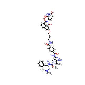 CN(C)C[C@@H](NC(=O)N1Cc2c(NC(=O)c3ccc(C(=O)NCCCOc4cc5c6c(cccc6c4)C(=O)N(C4CCC(=O)NC4=O)C5=O)cc3)n[nH]c2C1(C)C)c1ccccc1